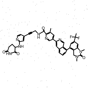 Cc1cc(-c2cc3cccc(-c4cc(C(C)(F)F)cc5c4CN(C)C(=O)N5C)c3cn2)cnc1C(=O)NCC#Cc1ccnc(NC2CCC(=O)NC2=O)c1